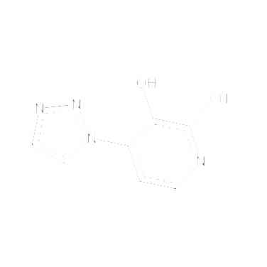 Cc1nccc(-n2ccnn2)c1O